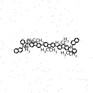 CC(C)(c1ccc2c(c1)C(C)(C)c1cc(-c3ccc4c(c3)C(C)(C)c3cc(-c5ccc6c(c5)C(C)(C)c5cc7c(cc5-6)C(C)(C)c5ccccc5N7c5ccc6ccccc6c5)ccc3-4)ccc1-2)c1ccccc1Nc1ccc2ccccc2c1